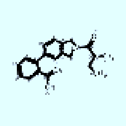 CC[C@H](C)C(=O)N1Cc2ccc(-c3ccccc3C(=O)O)cc2C1